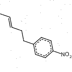 CC=CCCc1ccc([N+](=O)[O-])cc1